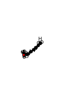 CCOc1cc([C@@H](CS(C)(=O)=O)N2C(=O)c3ccc(C4CCN(CCN5CCC(N6CCC(c7ccc(C8CCC(=O)NC8=O)cc7)CC6)CC5)CC4)cc3C2=O)ccc1OC